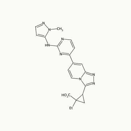 CCC1(C(=O)O)CC1c1nnc2cc(-c3ccnc(Nc4ccnn4C)n3)ccn12